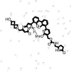 COc1nc(-c2cccc(-c3cccc(-c4cc5nc(CN6CC7(CC(O)C7)C6)cc(=O)n5n4C)c3Cl)c2Cl)ccc1COC(=O)NCC1CCC(=O)N1